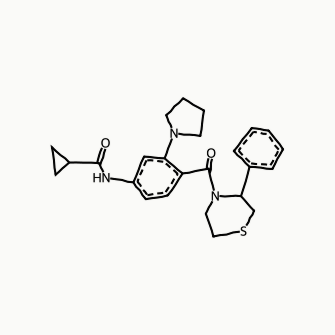 O=C(Nc1ccc(C(=O)N2CCSCC2c2ccccc2)c(N2CCCC2)c1)C1CC1